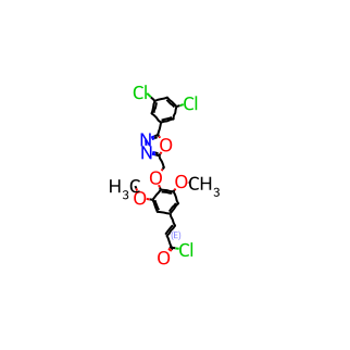 COc1cc(/C=C/C(=O)Cl)cc(OC)c1OCc1nnc(-c2cc(Cl)cc(Cl)c2)o1